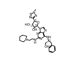 Cn1nnc([C@H]2O[C@@H](n3cnc4c(N[C@H](CO)Cc5ccccc5)nc(NCCN5CCCCC5)nc43)[C@H](O)[C@@H]2O)n1